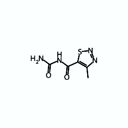 Cc1nnsc1C(=O)NC(N)=O